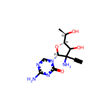 C#CC1(N)C(O)[C@@H]([C@@H](C)O)O[C@H]1n1cnc(N)nc1=O